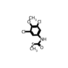 COc1c(Cl)cc(NC(=O)SC)cc1Cl